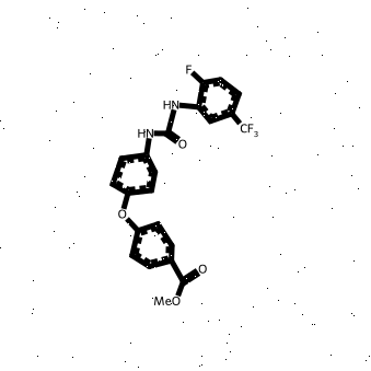 COC(=O)c1ccc(Oc2ccc(NC(=O)Nc3cc(C(F)(F)F)ccc3F)cc2)cc1